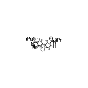 CC(C)NC(=O)c1ccc(Cl)c(-c2ccc3c(OC(C)C)nncc3c2)c1